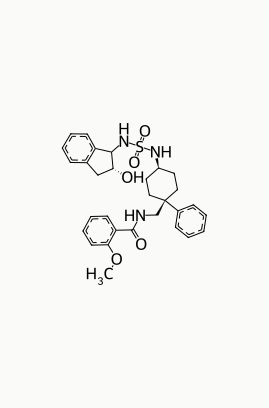 COc1ccccc1C(=O)NC[C@]1(c2ccccc2)CC[C@H](NS(=O)(=O)NC2c3ccccc3C[C@H]2O)CC1